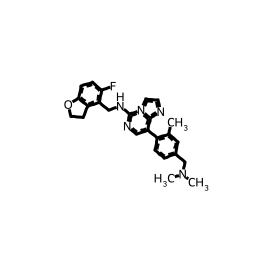 Cc1cc(CN(C)C)ccc1-c1cnc(NCc2c(F)ccc3c2CCO3)n2ccnc12